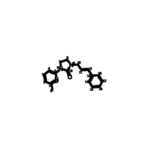 Cc1cccc(N2CCN(CC=Cc3ccccc3)C2=O)n1